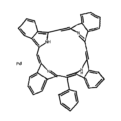 [Pd].c1ccc(-c2c3nc(cc4[nH]c(cc5nc(cc6[nH]c2c2ccccc62)-c2ccccc2-5)c2ccccc42)-c2ccccc2-3)cc1